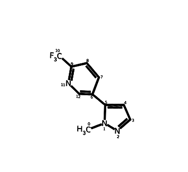 Cn1nccc1-c1ccc(C(F)(F)F)nc1